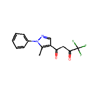 Cc1c(C(=O)CC(=O)C(F)(F)F)cnn1-c1ccccc1